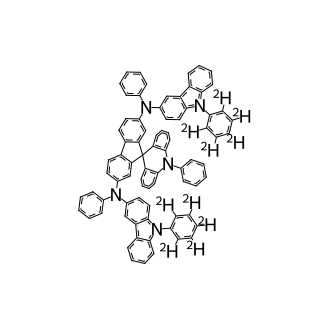 [2H]c1c([2H])c([2H])c(-n2c3ccccc3c3cc(N(c4ccccc4)c4ccc5c(c4)C4(c6cc(N(c7ccccc7)c7ccc8c(c7)c7ccccc7n8-c7c([2H])c([2H])c([2H])c([2H])c7[2H])ccc6-5)c5ccccc5N(c5ccccc5)c5ccccc54)ccc32)c([2H])c1[2H]